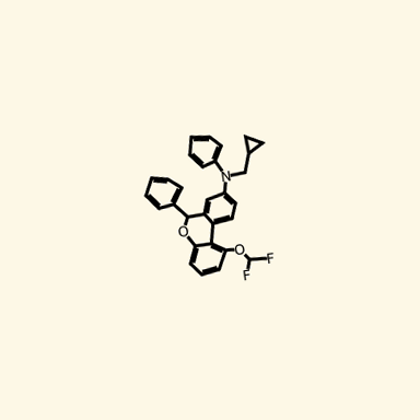 FC(F)Oc1cccc2c1-c1ccc(N(CC3CC3)c3ccccc3)cc1C(c1ccccc1)O2